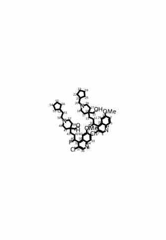 COc1ccc2ncc(Cl)c(C(F)CCC3(CO)CCN(CC4CCCC4)CC3)c2c1.COc1ccc2ncc(Cl)c(C(F)CCC3(CO)CCN(CCC4CCCC4)CC3)c2c1